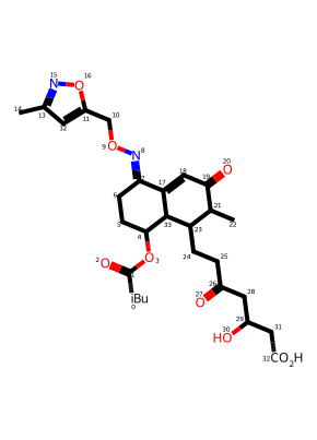 CCC(C)C(=O)OC1CCC(=NOCc2cc(C)no2)C2=CC(=O)C(C)C(CCC(=O)CC(O)CC(=O)O)C21